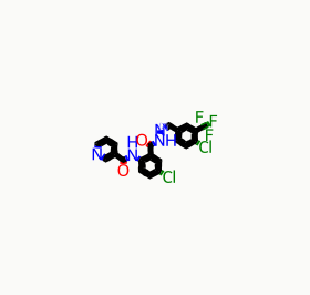 O=C(Nc1ccc(Cl)cc1C(=O)N/N=C\c1ccc(Cl)c(C(F)(F)F)c1)c1cccnc1